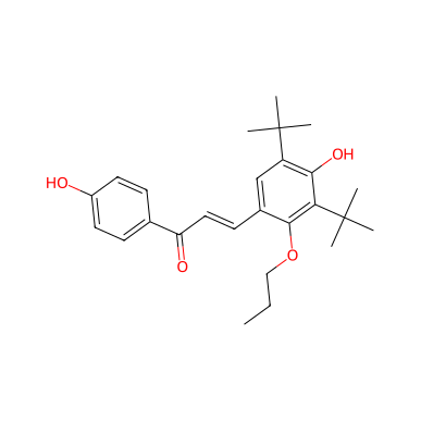 CCCOc1c(C=CC(=O)c2ccc(O)cc2)cc(C(C)(C)C)c(O)c1C(C)(C)C